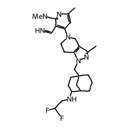 CNc1nc(C)cc(N2CCc3c(c(C)nn3CC34CCCC(C3)C(NCC(F)F)CC4)C2)c1C=N